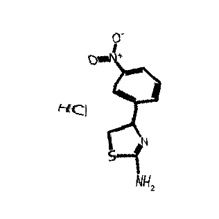 Cl.NC1=NC(c2cccc([N+](=O)[O-])c2)CS1